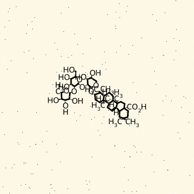 C[C@@H]1O[C@@H](O[C@H]2[C@H](O[C@H]3[C@H](O[C@H]4CC[C@]5(C)[C@H]6CC=C7[C@@H]8CC(C)(C)CC[C@]8(C(=O)O)CC[C@@]7(C)[C@]6(C)CC[C@H]5C4(C)C)OC[C@H](O)[C@@H]3O)O[C@H](CO)[C@@H](O)[C@@H]2O)[C@H](O)[C@H](O)[C@H]1O